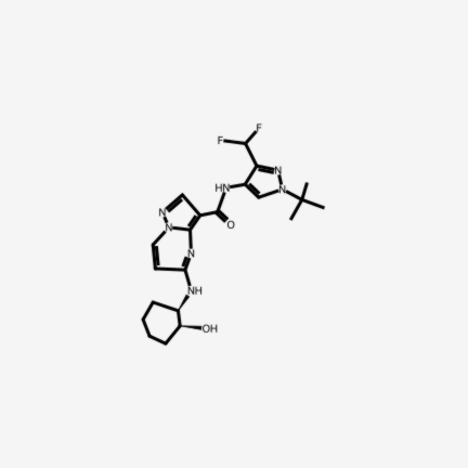 CC(C)(C)n1cc(NC(=O)c2cnn3ccc(N[C@@H]4CCCC[C@@H]4O)nc23)c(C(F)F)n1